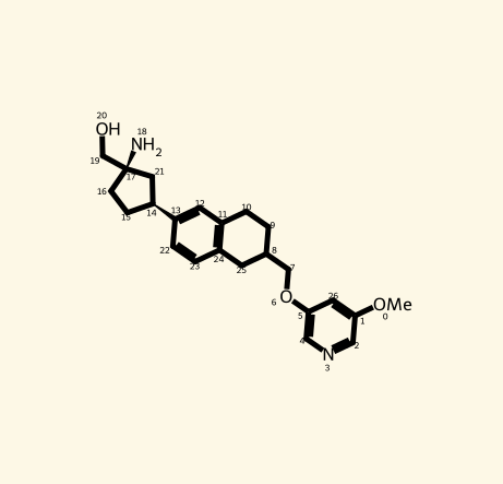 COc1cncc(OCC2CCc3cc([C@H]4CC[C@](N)(CO)C4)ccc3C2)c1